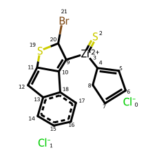 [Cl-].[Cl-].[S]=[Zr+2]([C]1=CC=CC1)[C]1=C2C(=Cc3ccccc32)SC1Br